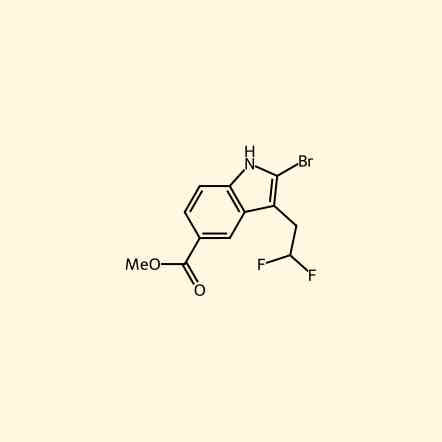 COC(=O)c1ccc2[nH]c(Br)c(CC(F)F)c2c1